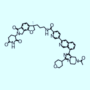 CC(=O)N1CCn2c(C3CCOCC3)nc(-c3cccc4cc(-c5ccc(C(=O)NCCC[C@@]6(C)COc7c6ccc6c7CN(C7CCC(=O)NC7=O)C6=O)nc5)ncc34)c2C1